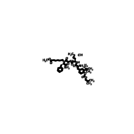 COC(=O)CCCCCN(C(=O)CNC(=O)[C@@H](CCSC)NC(=O)[C@@H](N)Cc1ccc(OC(=O)OCC(C)C)c(C(C)(C)C)c1)[C@@H](Cc1ccccc1)C(N)=O.Cl